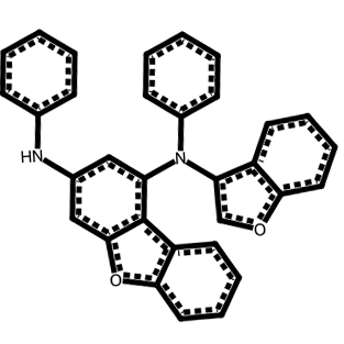 c1ccc(Nc2cc(N(c3ccccc3)c3coc4ccccc34)c3c(c2)oc2ccccc23)cc1